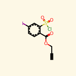 C#CCOC(=O)c1ccc(I)cc1S(=O)(=O)Cl